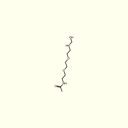 CC(=O)NCCOCCOCCNCO